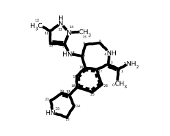 C/C(N)=C1/NCCC(NC2=CC(C)NN2C)c2cc(C3=CCNCC3)ccc21